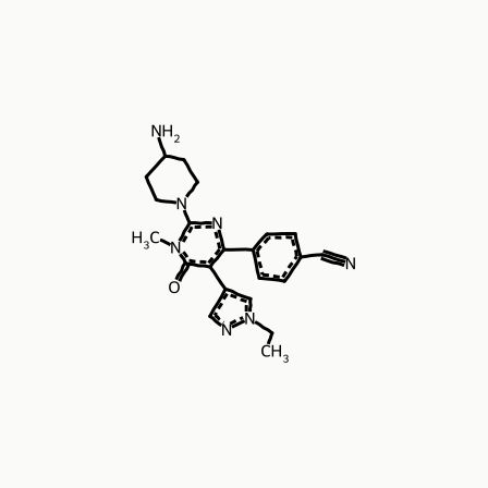 CCn1cc(-c2c(-c3ccc(C#N)cc3)nc(N3CCC(N)CC3)n(C)c2=O)cn1